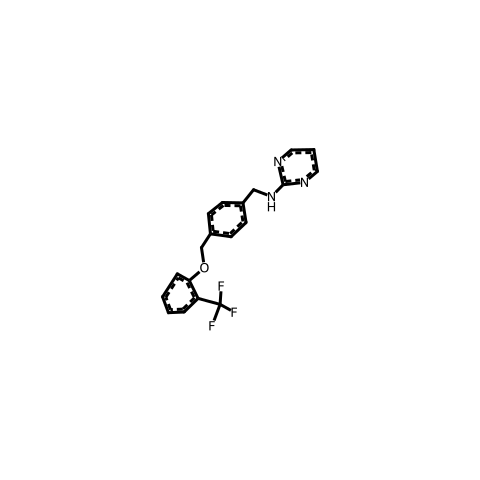 FC(F)(F)c1ccccc1OCc1ccc(CNc2ncccn2)cc1